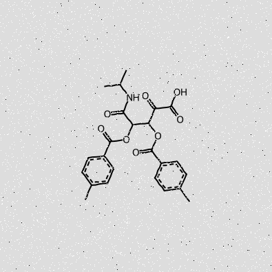 Cc1ccc(C(=O)OC(C(=O)NC(C)C)C(OC(=O)c2ccc(C)cc2)C(=O)C(=O)O)cc1